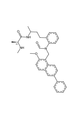 CN[C@@H](C)C(=O)NC(C)CCc1ccccc1N(C=O)Cc1c(OC)ccc2cc(-c3ccccc3)ccc12